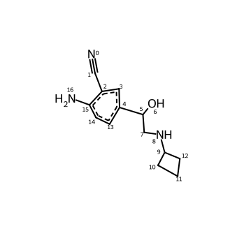 N#Cc1cc(C(O)CNC2CCC2)ccc1N